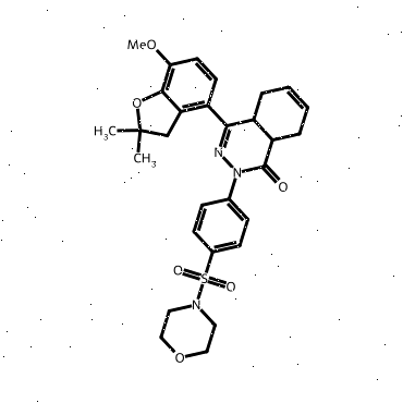 COc1ccc(C2=NN(c3ccc(S(=O)(=O)N4CCOCC4)cc3)C(=O)C3CC=CCC23)c2c1OC(C)(C)C2